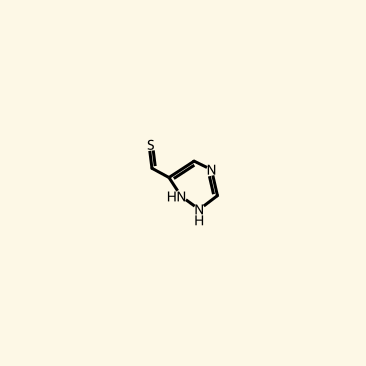 S=CC1=CN=CNN1